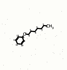 CCCCCCCOC1C=CCC=C1